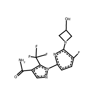 NC(=O)c1cnn(-c2ccc(F)c(N3CC(O)C3)n2)c1C(F)(F)F